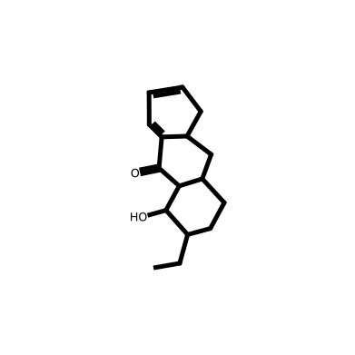 CCC1CCC2CC3CC=CC=C3C(=O)C2C1O